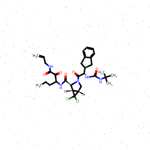 C=CCNC(=O)C(=O)C(CCC)NC(=O)[C@@H]1[C@@H]2[C@H](CN1C(=O)[C@@H](NC(=O)NC(C)(C)C)C1Cc3ccccc3C1)C2(Cl)Cl